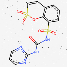 O=C(Nc1ncccn1)NS(=O)(=O)c1cccc2c1OS(=O)(=O)C=C2